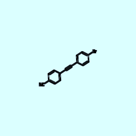 N#Cc1ccc(C#Cc2ccc(Br)cc2)cc1